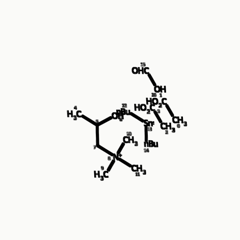 CC(=O)O.CC(=O)O.CC(O)C[N+](C)(C)C.CCC[CH2][Sn][CH2]CCC.O=CO